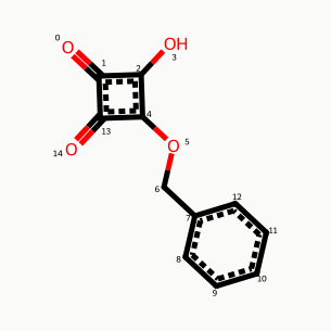 O=c1c(O)c(OCc2ccccc2)c1=O